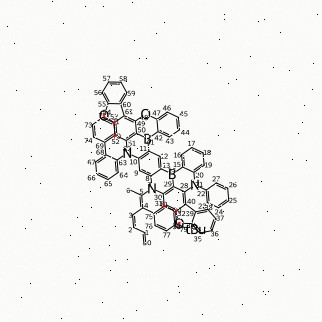 C=C/C=C\C(=C(/C)N1c2cc3c(cc2B2c4ccccc4N(c4ccccc4)c4c2c1cc1oc2ccccc2c41)B1c2ccccc2Oc2c1c(cc1oc4ccccc4c21)N3c1ccccc1-c1ccccc1)c1ccc(C(C)(C)C)cc1